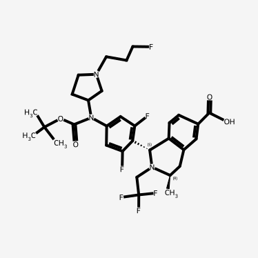 C[C@@H]1Cc2cc(C(=O)O)ccc2[C@@H](c2c(F)cc(N(C(=O)OC(C)(C)C)C3CCN(CCCF)C3)cc2F)N1CC(F)(F)F